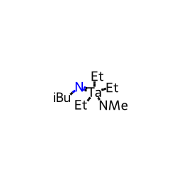 CCC(C)[N]=[Ta]([CH2]C)([CH2]C)([CH2]C)[NH]C